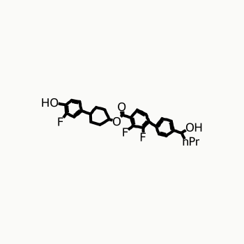 CCCC(O)c1ccc(-c2ccc(C(=O)OC3CCC(c4ccc(O)c(F)c4)CC3)c(F)c2F)cc1